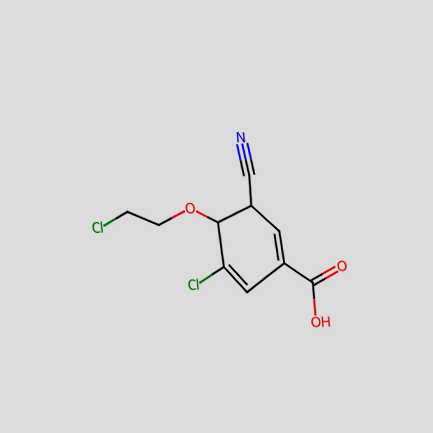 N#CC1C=C(C(=O)O)C=C(Cl)C1OCCCl